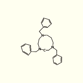 c1ccc(CN2CCCN(Cc3ccccc3)CCN(Cc3ccccc3)CC2)cc1